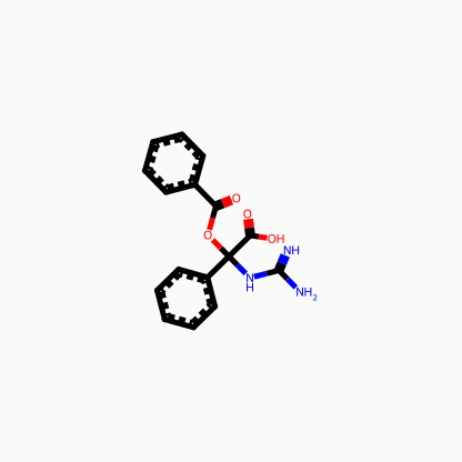 N=C(N)NC(OC(=O)c1ccccc1)(C(=O)O)c1ccccc1